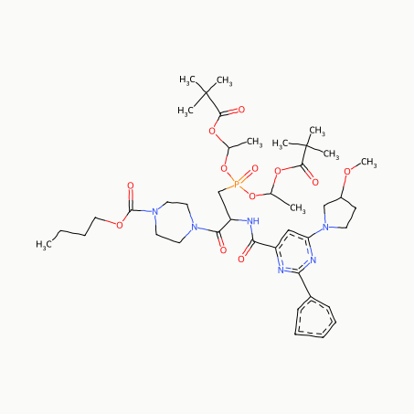 CCCCOC(=O)N1CCN(C(=O)C(CP(=O)(OC(C)OC(=O)C(C)(C)C)OC(C)OC(=O)C(C)(C)C)NC(=O)c2cc(N3CCC(OC)C3)nc(-c3ccccc3)n2)CC1